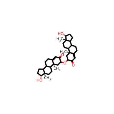 C[C@]12CC(OC3C[C@@]4(C)C(=CC3=O)CCC3C4CC[C@@]4(C)C3CC[C@@H]4O)C(=O)C=C1CCC1C2CC[C@@]2(C)C1CC[C@@H]2O